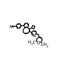 C[C@@H]1CC=C(Cc2ccc(C3=C(\C4CCC4)c4cccc(-c5ccc(C#N)cc5)c4CC/C=C\3)cn2)C[C@H](C)O1